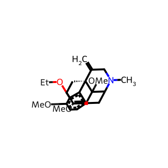 C=C1CN(C)C2Cc3ccc(OC)c(OCC)c3[C@@]13CCC(OC)=CC23OC